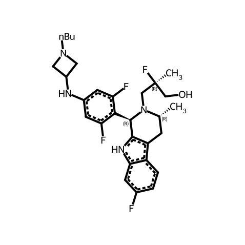 CCCCN1CC(Nc2cc(F)c([C@@H]3c4[nH]c5cc(F)ccc5c4C[C@@H](C)N3C[C@@](C)(F)CO)c(F)c2)C1